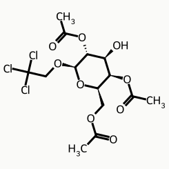 CC(=O)OC[C@H]1O[C@@H](OCC(Cl)(Cl)Cl)[C@H](OC(C)=O)[C@@H](O)[C@H]1OC(C)=O